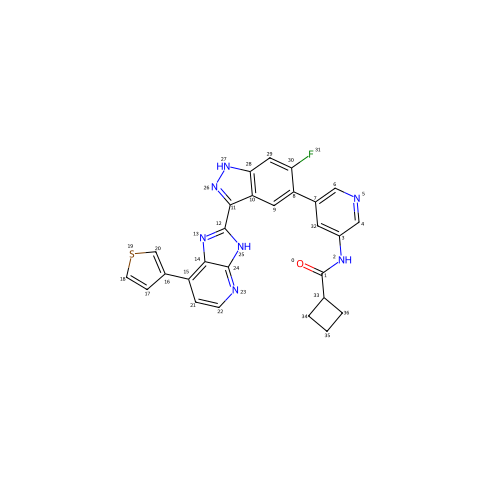 O=C(Nc1cncc(-c2cc3c(-c4nc5c(-c6ccsc6)ccnc5[nH]4)n[nH]c3cc2F)c1)C1CCC1